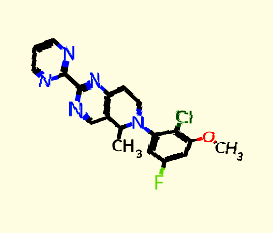 COc1cc(F)cc(N2CCc3nc(-c4ncccn4)ncc3C2C)c1Cl